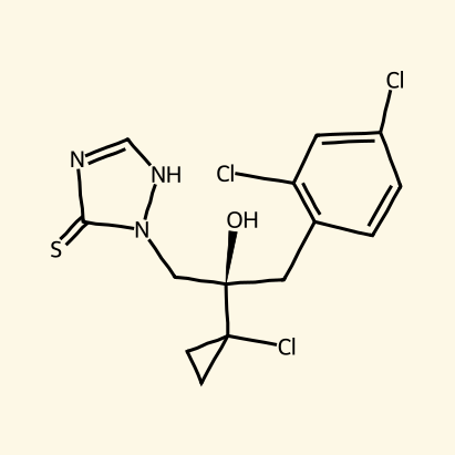 O[C@](Cc1ccc(Cl)cc1Cl)(Cn1[nH]cnc1=S)C1(Cl)CC1